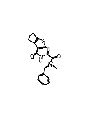 CN(Cc1ccccc1)C(=O)c1nc2sc3c(c2c(=O)[nH]1)CCC3